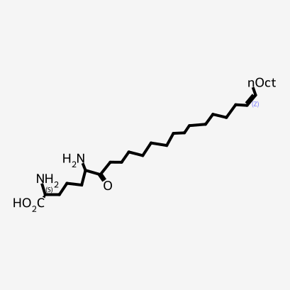 CCCCCCCC/C=C\CCCCCCCCCCCCCC(=O)C(N)CCC[C@H](N)C(=O)O